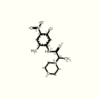 Cc1cc([N+](=O)[O-])c(Cl)cc1NC(=O)C(C)N1CCOCC1